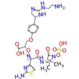 CC1(C)[C@H](NC(=O)/C(=N\OC(COc2ccc(C3CN=C(NCCN)N3)cc2)C(=O)O)c2csc(N)n2)C(=O)N1OS(=O)(=O)O